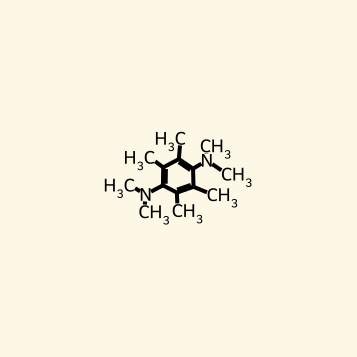 Cc1c(C)c(N(C)C)c(C)c(C)c1N(C)C